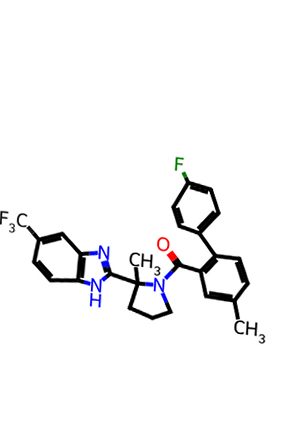 Cc1ccc(-c2ccc(F)cc2)c(C(=O)N2CCCC2(C)c2nc3cc(C(F)(F)F)ccc3[nH]2)c1